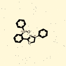 [O-][S@+](c1ccccc1)c1ccccc1C1=N[C@@H](c2ccccc2)CO1